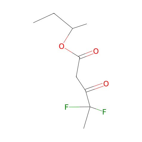 CCC(C)OC(=O)CC(=O)C(C)(F)F